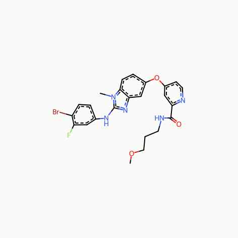 COCCCNC(=O)c1cc(Oc2ccc3c(c2)nc(Nc2ccc(Br)c(F)c2)n3C)ccn1